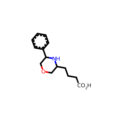 O=C(O)CCCC1COCC(c2ccccc2)N1